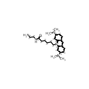 CN(C)c1ccc2cc3ccc(N(C)C)cc3[n+](CCCCCC(=O)NCCN)c2c1